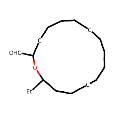 CCC1CCCCCCCCCCCCC(C=O)O1